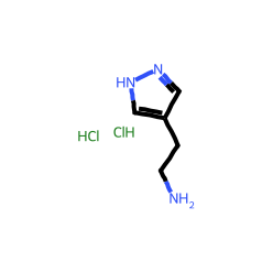 Cl.Cl.NCCc1cn[nH]c1